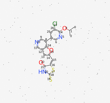 CC(C)Oc1ncc(-c2cncc3cc(/C=C4/SC(=S)NC4=O)oc23)cc1Cl